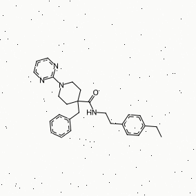 CCc1ccc(CCNC(=O)C2(Cc3ccccc3)CCN(c3ncccn3)CC2)cc1